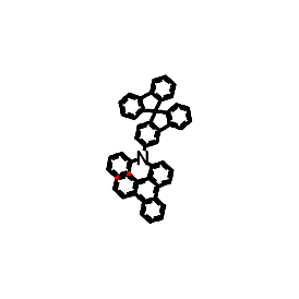 c1ccc(N(c2ccc3c(c2)-c2ccccc2C32c3ccccc3-c3ccccc32)c2cccc3c4ccccc4c4ccccc4c23)cc1